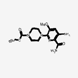 COc1cc(N)c(C(N)=O)nc1N1CCN(C(=O)OC(C)(C)C)CC1